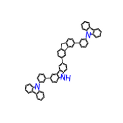 c1cc(-c2ccc3c(c2)-c2cc(-c4ccc5[nH]c6ccc(-c7cccc(-n8c9ccccc9c9ccccc98)c7)cc6c5c4)ccc2C3)cc(-n2c3ccccc3c3ccccc32)c1